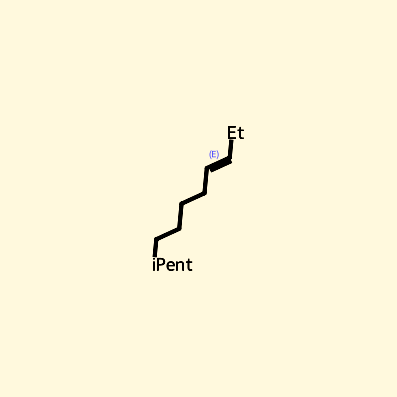 [CH2]CCC(C)CCCC/C=C/CC